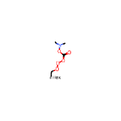 CCCCCCCOOOC(=O)ON(C)C